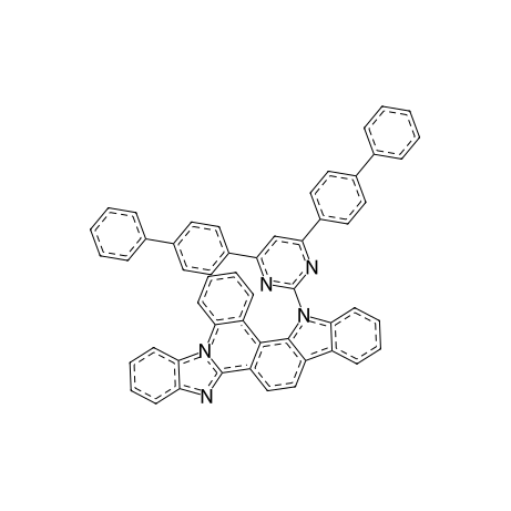 c1ccc(-c2ccc(-c3cc(-c4ccc(-c5ccccc5)cc4)nc(-n4c5ccccc5c5ccc6c(c7ccccc7n7c8ccccc8nc67)c54)n3)cc2)cc1